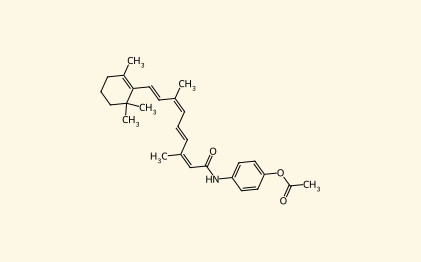 CC(=O)Oc1ccc(NC(=O)C=C(C)C=CC=C(C)C=CC2=C(C)CCCC2(C)C)cc1